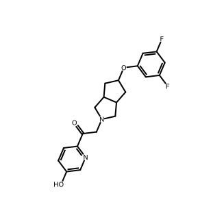 O=C(CN1CC2CC(Oc3cc(F)cc(F)c3)CC2C1)c1ccc(O)cn1